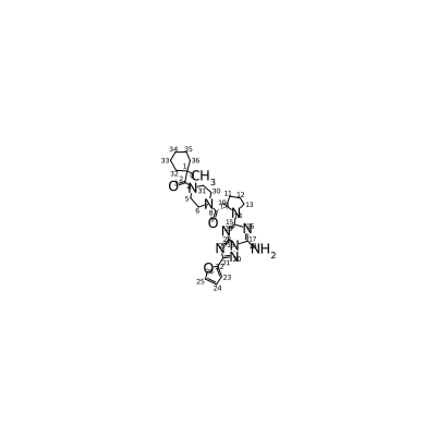 CC1(C(=O)N2CCN(C(=O)[C@@H]3CCCN3c3nc(N)n4nc(-c5ccco5)nc4n3)CC2)CCCCC1